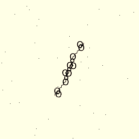 CCC(=O)OCCCCCCOc1ccc(C(=O)Oc2ccc(OC(=O)c3ccc(OCCCCCCOC(=O)CC)cc3)cc2)cc1